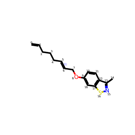 C=CCC[CH]/C=C/COc1ccc2c(C)nsc2c1